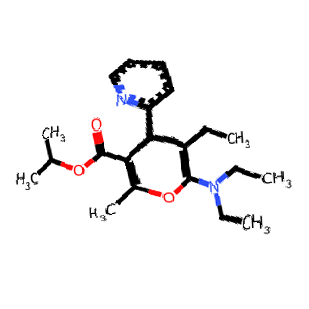 CCC1=C(N(CC)CC)OC(C)=C(C(=O)OC(C)C)C1c1ccccn1